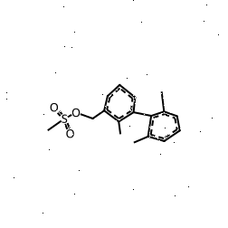 Cc1cccc(C)c1-c1cccc(COS(C)(=O)=O)c1C